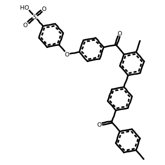 Cc1ccc(C(=O)c2ccc(-c3ccc(C)c(C(=O)c4ccc(Oc5ccc(S(=O)(=O)O)cc5)cc4)c3)cc2)cc1